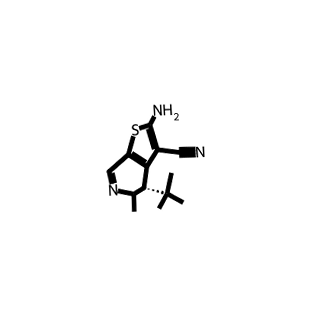 CC1N=Cc2sc(N)c(C#N)c2[C@@H]1C(C)(C)C